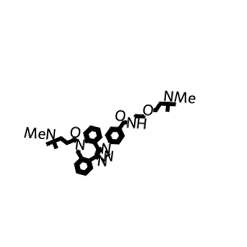 CNC(C)(C)CCOCCNC(=O)c1ccc(-n2nnc3c2-c2ccccc2N(C(=O)CCC(C)(C)NC)Cc2ccccc2-3)cc1